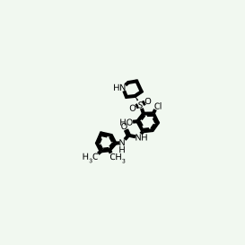 Cc1cccc(NC(=O)Nc2ccc(Cl)c(S(=O)(=O)[C@H]3CCCNC3)c2O)c1C